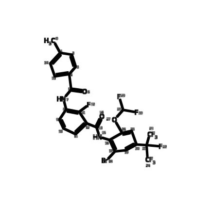 Cc1ccc(C(=O)Nc2cccc(C(=O)Nc3c(Br)cc(C(F)(C(F)(F)F)C(F)(F)F)cc3OC(F)F)c2F)cc1